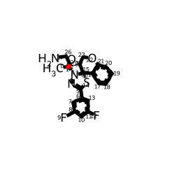 CC(=O)N1N=C(c2cc(F)cc(F)c2)S[C@@]12c1ccccc1OC[C@H]2CCN